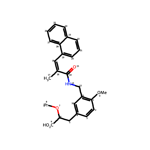 COc1ccc(CC(OC(C)C)C(=O)O)cc1CNC(=O)C(C)=Cc1cccc2ccccc12